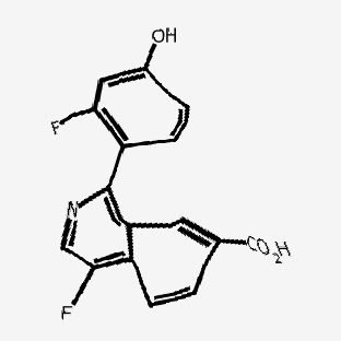 O=C(O)c1ccc2c(F)cnc(-c3ccc(O)cc3F)c2c1